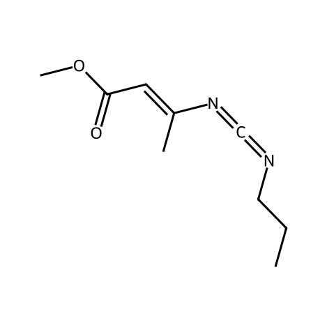 CCCN=C=N/C(C)=C/C(=O)OC